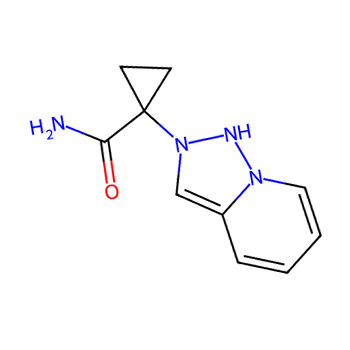 NC(=O)C1(N2C=C3C=CC=CN3N2)CC1